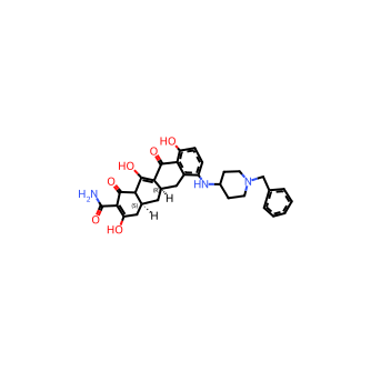 NC(=O)C1=C(O)C[C@@H]2C[C@@H]3Cc4c(NC5CCN(Cc6ccccc6)CC5)ccc(O)c4C(=O)C3=C(O)C2C1=O